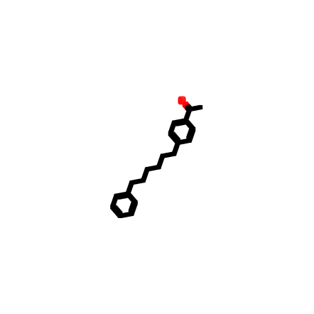 CC(=O)c1ccc(CCCCCCc2ccccc2)cc1